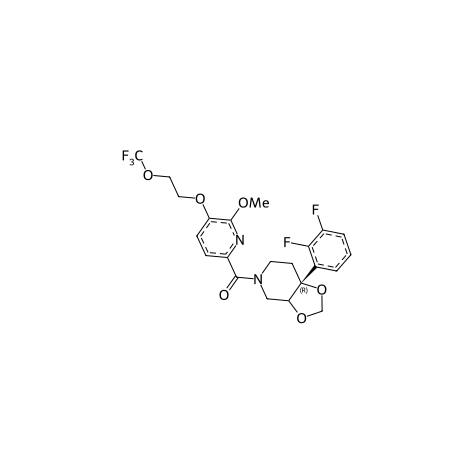 COc1nc(C(=O)N2CC[C@]3(c4cccc(F)c4F)OCOC3C2)ccc1OCCOC(F)(F)F